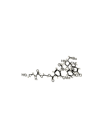 COc1cc(C(=O)OCCOC(=O)NCC(=O)O)ccc1NC(=O)[C@@H]1N[C@@H](CC(C)(C)C)[C@](C#N)(c2ccc(Cl)cc2F)[C@H]1c1cccc(Cl)c1F